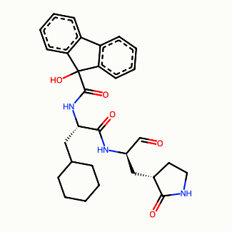 O=C[C@@H](C[C@@H]1CCNC1=O)NC(=O)[C@H](CC1CCCCC1)NC(=O)C1(O)c2ccccc2-c2ccccc21